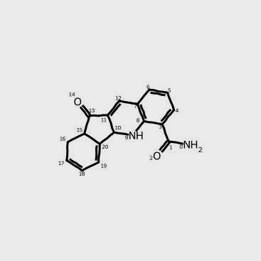 NC(=O)c1cccc2c1NC1C(=C2)C(=O)C2CC=CC=C21